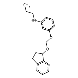 CCCNc1cccc(OCOC2CCc3ccccc32)c1